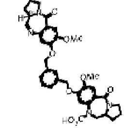 COc1cc2c(cc1OCc1cccc(COc3cc4c(cc3OC)C(=O)N3CCCC3CN4C(=O)O)c1)N=C[C@@H]1CCCN1C2=O